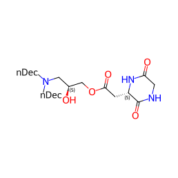 CCCCCCCCCCN(CCCCCCCCCC)C[C@H](O)COC(=O)C[C@@H]1NC(=O)CNC1=O